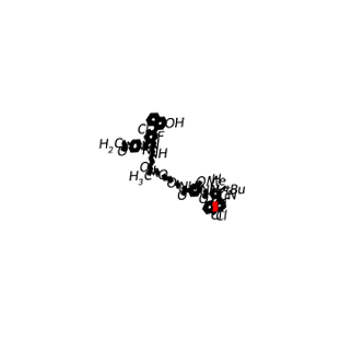 C=CC(=O)N1CCN(c2nc(NCCC(=O)N(C)CCOCCOCCNC(=O)c3ccc(NC(=O)[C@@H]4N[C@@H](CC(C)(C)C)[C@](C#N)(c5ccc(Cl)cc5F)[C@H]4c4cccc(Cl)c4F)c(OC)c3)nc3c(F)c(-c4cc(O)cc5ccccc45)c(Cl)cc23)CC1